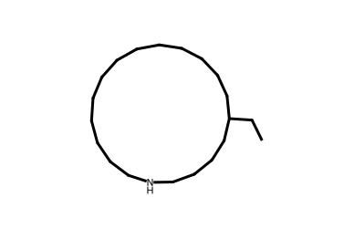 CCC1CCCCCCCCCCCCCNCCCC1